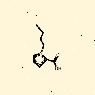 CCCCn1cccc1C(=O)O